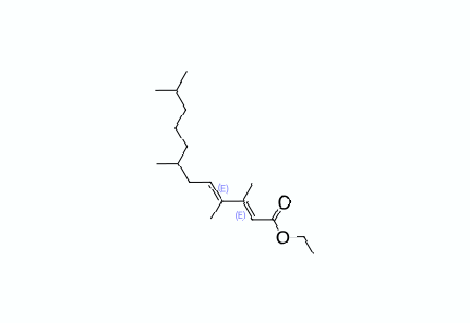 CCOC(=O)/C=C(C)/C(C)=C/CC(C)CCCC(C)C